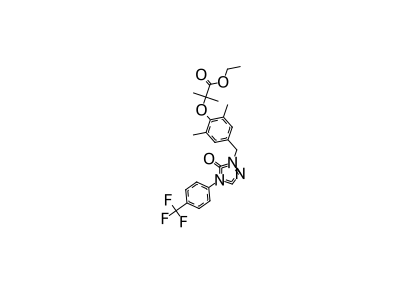 CCOC(=O)C(C)(C)Oc1c(C)cc(Cn2ncn(-c3ccc(C(F)(F)F)cc3)c2=O)cc1C